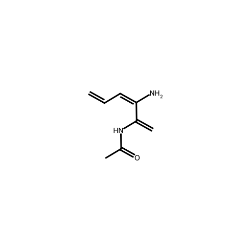 C=C/C=C(/N)C(=C)NC(C)=O